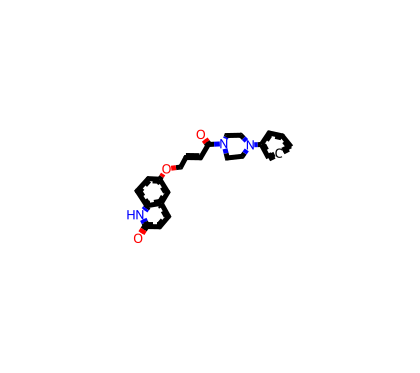 O=C(C=CCOc1ccc2[nH]c(=O)ccc2c1)N1CCN(c2ccccc2)CC1